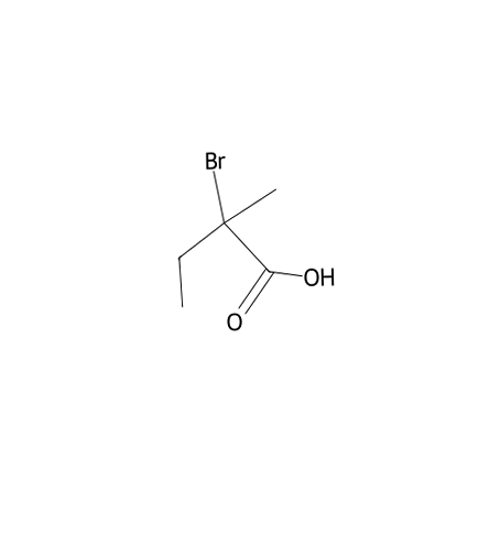 CCC(C)(Br)C(=O)O